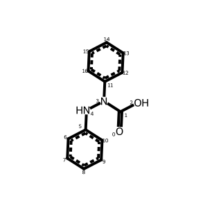 O=C(O)N(Nc1ccccc1)c1ccccc1